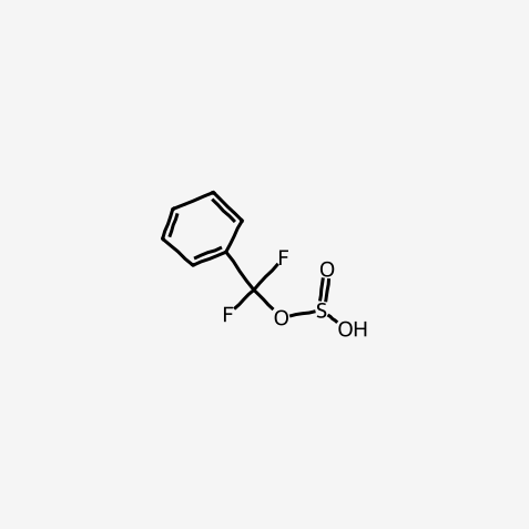 O=S(O)OC(F)(F)c1ccccc1